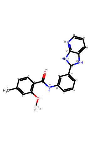 COc1cc(C)ccc1C(=O)Nc1cccc(C2Nc3cccnc3N2)c1